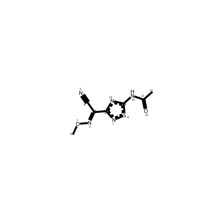 CON=C(C#N)c1nsc(NC(C)=O)n1